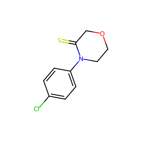 S=C1COCCN1c1ccc(Cl)cc1